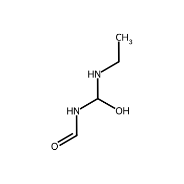 CCNC(O)NC=O